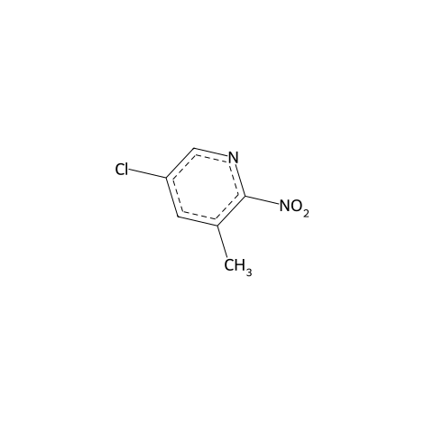 Cc1cc(Cl)cnc1[N+](=O)[O-]